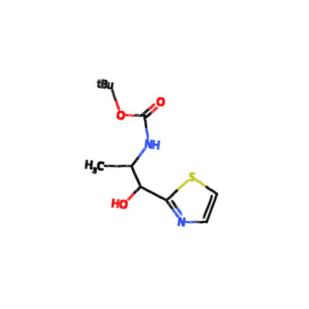 CC(NC(=O)OC(C)(C)C)C(O)c1nccs1